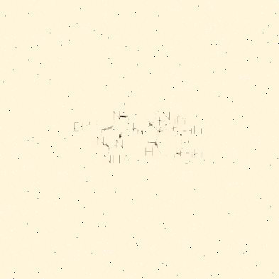 CCOc1nc(NC(C)=O)nc2c1ncn2[C@@H]1O[C@@H]2CO[Si](C(C)C)(C(C)C)O[Si](C(C)C)(C(C)C)O[C@H]2[C@@]1(C)C#N